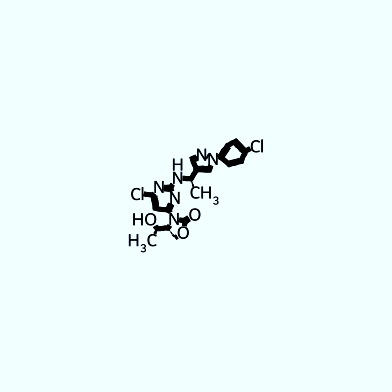 C[C@H](Nc1nc(Cl)cc(N2C(=O)OC[C@@H]2[C@@H](C)O)n1)c1cnn(-c2ccc(Cl)cc2)c1